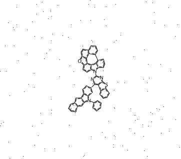 c1ccc(-n2c3cc(-c4nc(-n5c6cccc7c6c6c8c(ccc65)oc5ccc6cccc-7c6c58)nc5sc6ccccc6c45)ccc3c3cc4ccccc4cc32)cc1